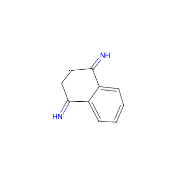 N=C1[CH]CC(=N)c2ccccc21